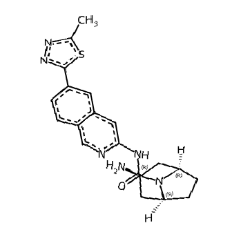 Cc1nnc(-c2ccc3cnc(NC(=O)N4[C@@H]5CC[C@H]4C[C@@H](N)C5)cc3c2)s1